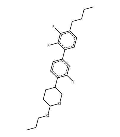 CCCCc1ccc(-c2ccc(C3CCC(OCCC)OC3)c(F)c2)c(F)c1F